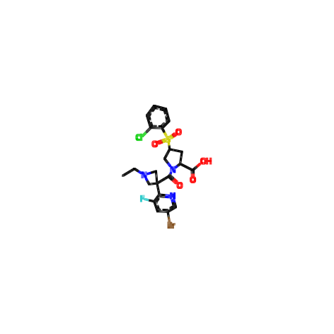 CCN1CC(C(=O)N2CC(S(=O)(=O)c3ccccc3Cl)CC2C(=O)O)(c2ncc(Br)cc2F)C1